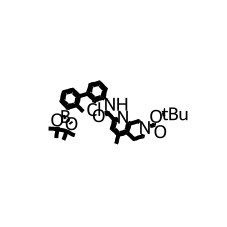 Cc1cc(C(=O)Nc2cccc(-c3cccc(B4OC(C)(C)C(C)(C)O4)c3C)c2Cl)nc2c1CCN(C(=O)OC(C)(C)C)C2